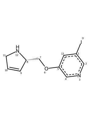 Ic1cncc(OC[C@@H]2C=CCN2)c1